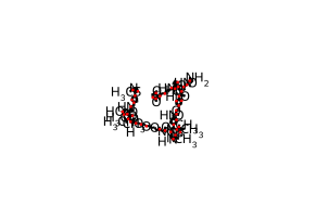 Cc1ncsc1-c1ccc(CNC(=O)[C@@H]2C[C@@H](O)CN2C(=O)[C@@H](NC(=O)COCCOCCOCCNC(=O)C[C@@H]2N=C(c3ccc(NC(=O)OCc4ccc(NC(=O)[C@H](CCCNC(N)=O)NC(=O)C5(C(=O)NCCCCCN6C(=O)C=CC6=O)CCC5)cc4)cc3)c3c(sc(C)c3C)-n3c(C)nnc32)C(C)(C)C)cc1